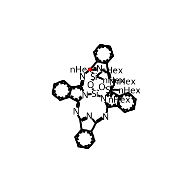 CCCCCC[Si](CCCCCC)(CCCCCC)O[Si]1(O[Si](CCCCCC)(CCCCCC)CCCCCC)n2c3c4ccccc4c2/N=C2N=C(/N=c4/c5ccccc5/c(n41)=N/C1=NC(=N\3)/c3ccccc31)c1ccccc1\2